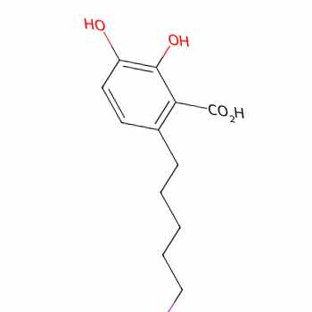 O=C(O)c1c(CCCCCI)ccc(O)c1O